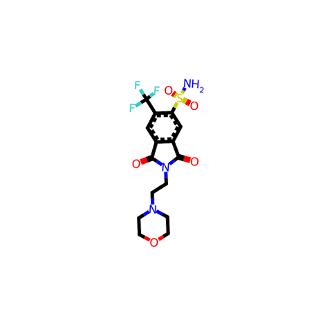 NS(=O)(=O)c1cc2c(cc1C(F)(F)F)C(=O)N(CCN1CCOCC1)C2=O